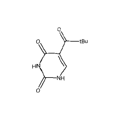 CC(C)(C)C(=O)c1c[nH]c(=O)[nH]c1=O